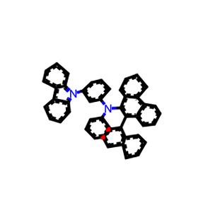 c1ccc(N(c2cccc(-n3c4ccccc4c4ccccc43)c2)c2c(-c3cccc4ccccc34)c3ccccc3c3ccccc23)cc1